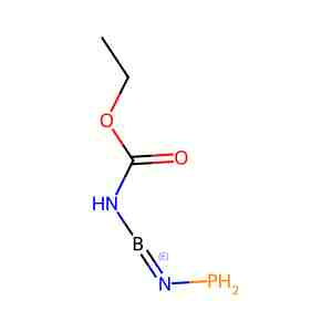 CCOC(=O)N/B=N/P